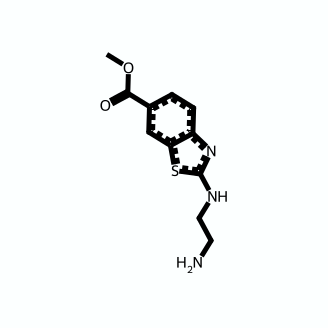 COC(=O)c1ccc2nc(NCCN)sc2c1